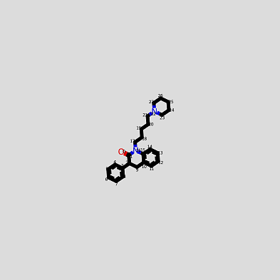 O=C1C(c2ccccc2)Cc2ccccc2N1CCCCCN1CCCCC1